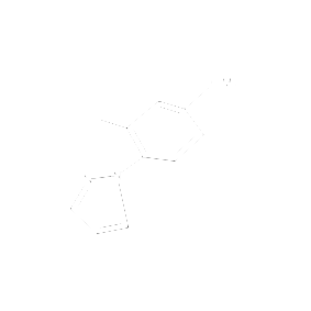 COc1ccc(-n2cccn2)c(C)c1